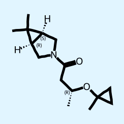 C[C@H](CC(=O)N1C[C@@H]2[C@H](C1)C2(C)C)OC1(C)CC1